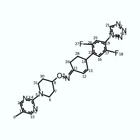 Cc1cnc(N2CCC(ON=C3C=CC(c4cc(F)c(-n5cnnn5)cc4F)CC3)CC2)nc1